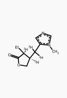 [2H]C([2H])(c1cncn1C)[C@@]1([2H])COC(=O)[C@@]1([2H])CC